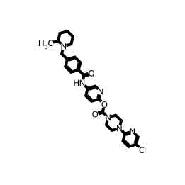 CC1CCCCN1Cc1ccc(C(=O)Nc2ccc(OC(=O)N3CCN(c4ccc(Cl)cn4)CC3)nc2)cc1